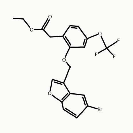 CCOC(=O)Cc1ccc(OC(F)(F)F)cc1OCc1coc2ccc(Br)cc12